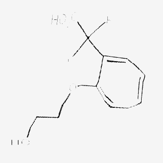 O=C(O)C(F)(F)c1ccccc1OCCO